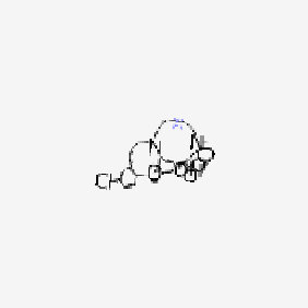 COC(=O)[C@@]1(O)CC(=O)N(C)CC/C=C\CCCN2CCCCc3cc(Cl)ccc3COc3ccc1cc32